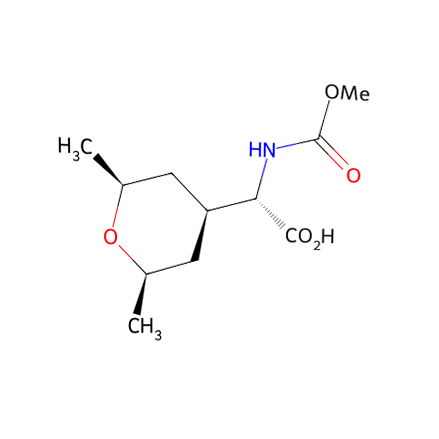 COC(=O)N[C@H](C(=O)O)[C@H]1C[C@@H](C)O[C@@H](C)C1